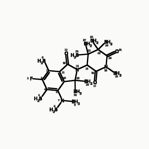 Bc1c(F)c(B)c(N(B)B)c2c1C(=O)N(C1C(=O)N(B)C(=O)C(B)(B)C1(B)B)C2(B)B